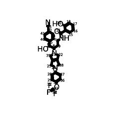 N#Cc1ccc(C(O)C(CCNC(=O)c2ccccc2O)N2CC3=C(CN(c4ccc(OC(F)(F)F)cc4)C3)C2)cc1